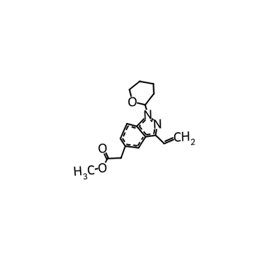 C=Cc1nn(C2CCCCO2)c2ccc(CC(=O)OC)cc12